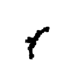 C=CC(=O)CCCCOCC(=O)C1CCC(C(=O)Oc2ccc(OC(=O)C3CCC(C(=O)OCCCCOC(=O)C=C)CC3)cc2/C(=N/N(C)C)OO)CC1